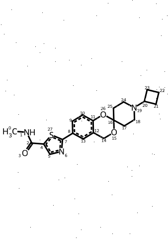 CNC(=O)c1cnc(-c2ccc3c(c2)COC2(CCN(C4CCC4)CC2)O3)s1